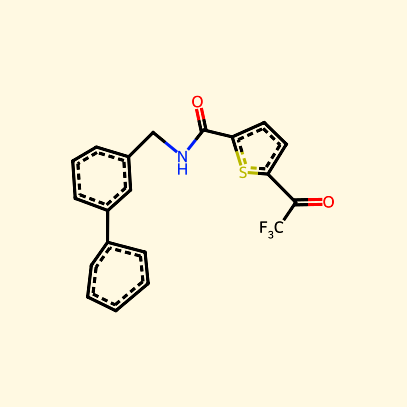 O=C(NCc1cccc(-c2ccccc2)c1)c1ccc(C(=O)C(F)(F)F)s1